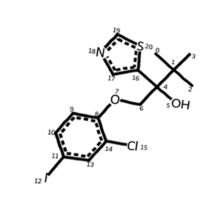 CC(C)(C)C(O)(COc1ccc(I)cc1Cl)c1cncs1